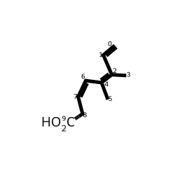 C=C/C(C)=C(C)\C=C/CC(=O)O